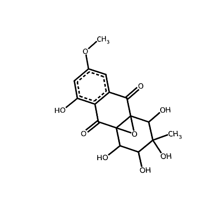 COc1cc(O)c2c(c1)C(=O)C13OC1(C2=O)C(O)C(O)C(C)(O)C3O